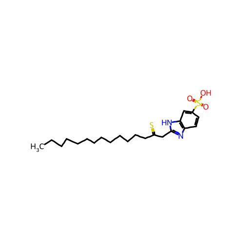 CCCCCCCCCCCCCC(=S)Cc1nc2ccc(S(=O)(=O)O)cc2[nH]1